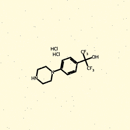 Cl.Cl.OC(c1ccc(N2CCNCC2)cc1)(C(F)(F)F)C(F)(F)F